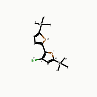 C[Si](C)(C)c1ccc(-c2sc([Si](C)(C)C)cc2Br)s1